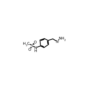 CS(=O)(=O)Nc1ccc(C[N]N)cc1